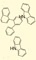 c1ccc(-c2ccccc2-c2cccc3ccccc23)cc1.c1ccc2c(c1)[nH]c1ccccc12.c1ccc2c(c1)[nH]c1ccccc12